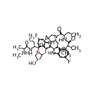 CCC(NC(=O)C(C)NC)C(=O)N1CC(O)CC1Cc1c(-c2[nH]c3cc(F)ccc3c2CC2CC3(CC3)CN2C(=O)C(CC)NC(=O)C(C)NC)[nH]c2cc(F)ccc12